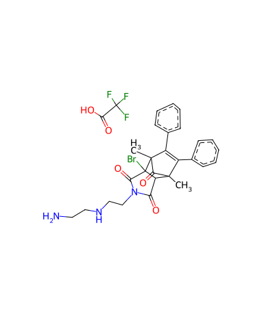 CC12C(=O)C(C)(C(c3ccccc3)=C1c1ccccc1)C1(Br)C(=O)N(CCNCCN)C(=O)C21.O=C(O)C(F)(F)F